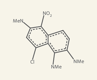 CNc1cc(Cl)c2c(NC)c(NC)ccc2c1[N+](=O)[O-]